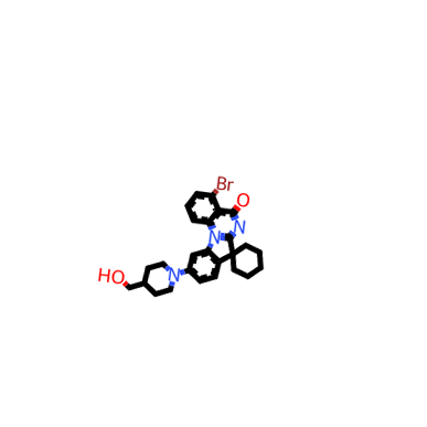 O=c1nc2n(c3cccc(Br)c13)-c1cc(N3CCC(CO)CC3)ccc1C21CCCCC1